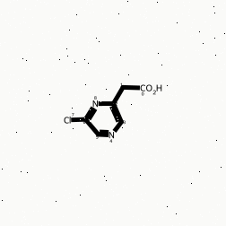 O=C(O)Cc1cncc(Cl)n1